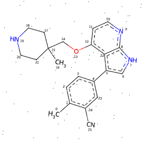 Cc1ccc(-c2c[nH]c3nccc(OCC4(C)CCNCC4)c23)cc1C#N